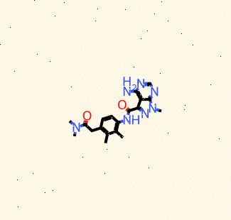 Cc1c(CC(=O)N(C)C)ccc(NC(=O)c2nn(C)c3ncnc(N)c23)c1C